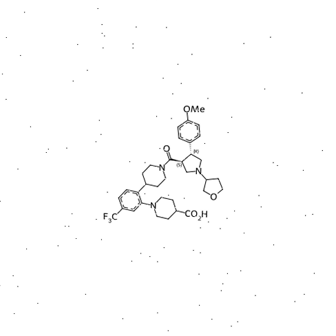 COc1ccc([C@@H]2CN(C3CCOC3)C[C@H]2C(=O)N2CCC(c3ccc(C(F)(F)F)cc3N3CCC(C(=O)O)CC3)CC2)cc1